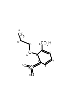 O=C(O)C1=CC=CC(=S(=O)=O)C1OCCC(F)(F)F